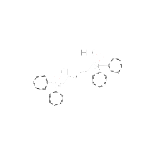 CO[Si](CCCCCC[Si](OC)(c1ccccc1)c1ccccc1)(c1ccccc1)c1ccccc1